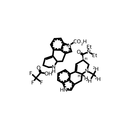 O=C(O)C(F)(F)F.O=C(O)n1cc2c3c(cccc31)C1=CCCNC1C2.[2H]C([2H])([2H])N1C[C@H](C(=O)N(CC)CC)C=C2c3cccc4[nH]cc(c34)C[C@H]21